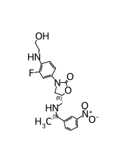 C[C@H](NC[C@@H]1CN(c2ccc(NCCO)c(F)c2)C(=O)O1)c1cccc([N+](=O)[O-])c1